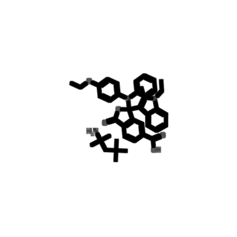 CC(C)(C)CC(C)(C)N.CCOc1ccc(N(c2ccccc2)C2(c3c(C)n(CC)c4ccccc34)OC(=O)c3ccc(C(=O)O)cc32)cc1